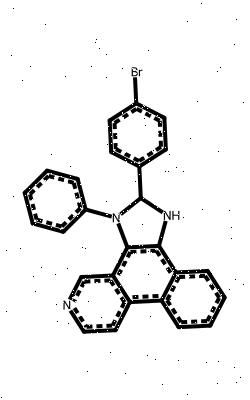 Brc1ccc(C2Nc3c(c4cnccc4c4ccccc34)N2c2ccccc2)cc1